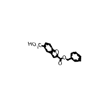 O=C(O)c1ccc2oc(C(=O)OCc3ccccc3)cc2c1